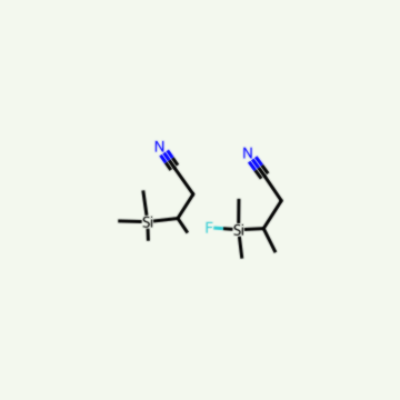 CC(CC#N)[Si](C)(C)C.CC(CC#N)[Si](C)(C)F